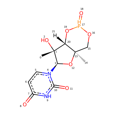 C[C@]1(O)[C@H](n2ccc(=O)[nH]c2=O)O[C@]2(C)CO[PH](=O)O[C@@H]12